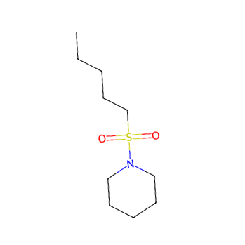 CCCCCS(=O)(=O)N1CCCCC1